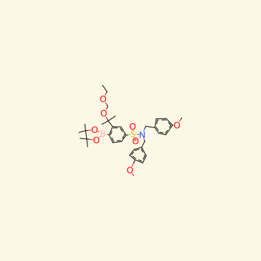 CCOCOC(C)(C)c1cc(S(=O)(=O)N(Cc2ccc(OC)cc2)Cc2ccc(OC)cc2)ccc1B1OC(C)(C)C(C)(C)O1